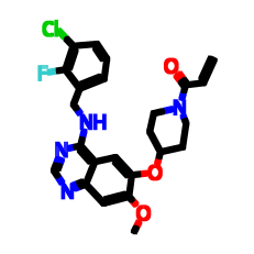 C=CC(=O)N1CCC(Oc2cc3c(NCc4cccc(Cl)c4F)ncnc3cc2OC)CC1